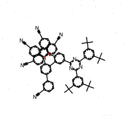 CC(C)(C)c1cc(-c2nc(-c3cc(C(C)(C)C)cc(C(C)(C)C)c3)nc(-c3ccc(-n4c5ccc(C#N)cc5c5cc(C#N)ccc54)c(-c4cc(-c5cccc(C#N)c5)ccc4-n4c5ccc(C#N)cc5c5cc(C#N)ccc54)c3)n2)cc(C(C)(C)C)c1